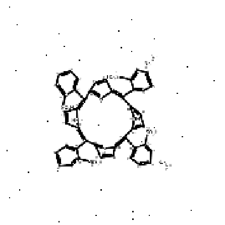 O=S(=O)(O)c1ccccc1-c1c2nc(c(-c3ccccc3S(=O)(=O)O)c3ccc([nH]3)c(-c3ccccc3S(=O)(=O)O)c3nc(c(-c4ccccc4S(=O)(=O)O)c4ccc1[nH]4)C=C3)C=C2.[Na].[Na].[Na].[Na]